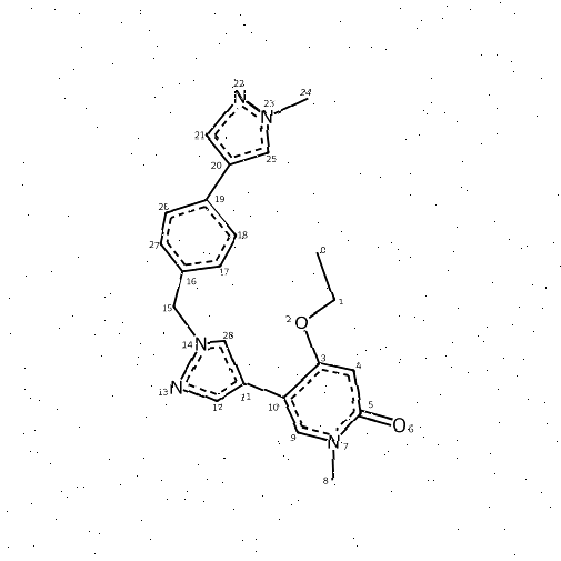 CCOc1cc(=O)n(C)cc1-c1cnn(Cc2ccc(-c3cnn(C)c3)cc2)c1